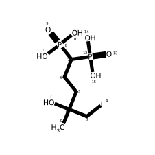 CC(O)(CI)CCC(P(=O)(O)O)P(=O)(O)O